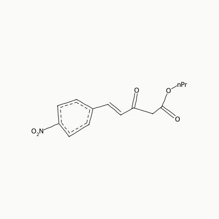 CCCOC(=O)CC(=O)C=Cc1ccc([N+](=O)[O-])cc1